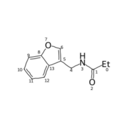 CCC(=O)NCc1coc2ccccc12